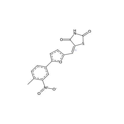 Cc1ccc(-c2ccc(/C=C3/SC(=O)NC3=O)o2)cc1[N+](=O)[O-]